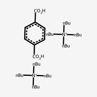 CCCC[N+](CCCC)(CCCC)CCCC.CCCC[N+](CCCC)(CCCC)CCCC.O=C(O)c1ccc(C(=O)O)cc1